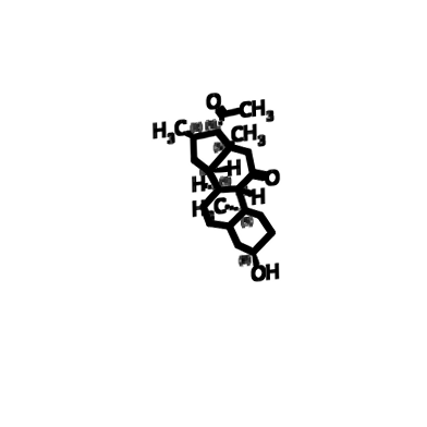 CC(=O)[C@H]1[C@H](C)C[C@H]2[C@@H]3CCC4C[C@H](O)CC[C@]4(C)[C@H]3C(=O)C[C@@]21C